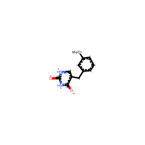 COc1cccc(Cc2c[nH]c(=O)[nH]c2=O)c1